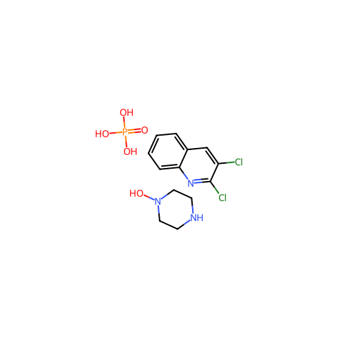 Clc1cc2ccccc2nc1Cl.O=P(O)(O)O.ON1CCNCC1